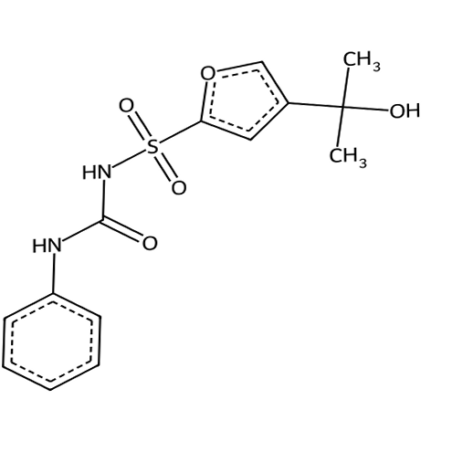 CC(C)(O)c1coc(S(=O)(=O)NC(=O)Nc2ccccc2)c1